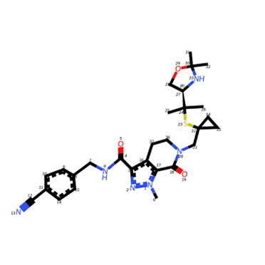 Cn1nc(C(=O)NCc2ccc(C#N)cc2)c2c1C(=O)N(CC1(SC(C)(C)[C@H]3COC(C)(C)N3)CC1)CC2